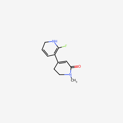 CN1CCC(C2=C(F)NCC=C2)=CC1=O